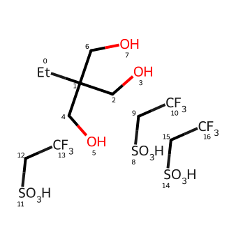 CCC(CO)(CO)CO.O=S(=O)(O)CC(F)(F)F.O=S(=O)(O)CC(F)(F)F.O=S(=O)(O)CC(F)(F)F